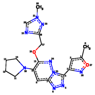 Cc1cc(-c2nnc3cc(N4CCCC4)c(OCc4ncn(C)n4)nn23)no1